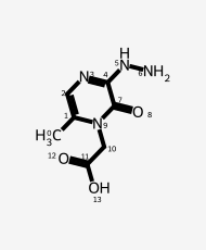 Cc1cnc(NN)c(=O)n1CC(=O)O